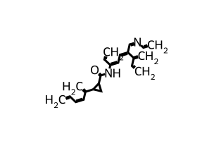 C=C/C=C\C(=C)C1CC1C(=O)N/C(C=C)=C/C=C(/C=N\C=C)C(=C)C=C